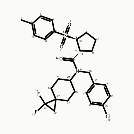 Cc1ccc(S(=O)(=O)[C@H]2CCC[C@@H]2C(=O)N(Cc2ccc(Cl)cc2)C2CCC3(CC2)CC3(F)F)cc1